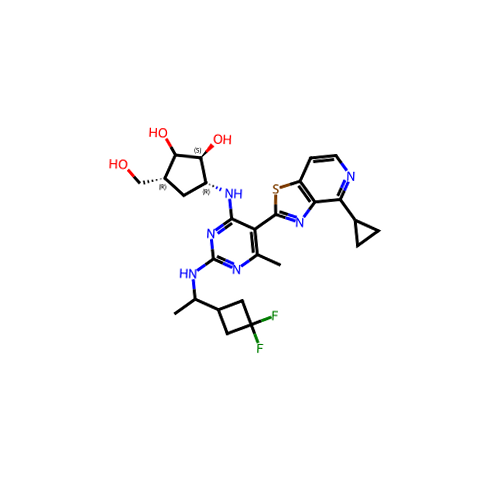 Cc1nc(NC(C)C2CC(F)(F)C2)nc(N[C@@H]2C[C@H](CO)C(O)[C@H]2O)c1-c1nc2c(C3CC3)nccc2s1